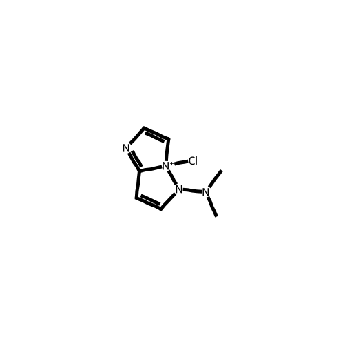 CN(C)N1C=CC2=NC=C[N+]21Cl